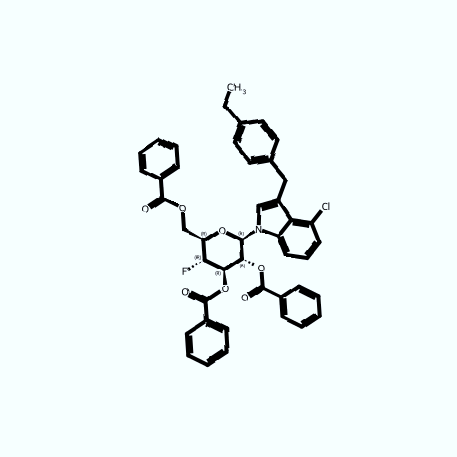 CCc1ccc(Cc2cn([C@@H]3O[C@H](COC(=O)c4ccccc4)[C@@H](F)[C@H](OC(=O)c4ccccc4)[C@H]3OC(=O)c3ccccc3)c3cccc(Cl)c23)cc1